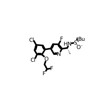 C[C@@H](N[S+]([O-])C(C)(C)C)c1ncc(-c2cc(Cl)cc(Cl)c2OCC(F)F)cc1F